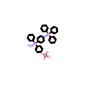 [NH2+]=P(c1ccccc1)(c1ccccc1)c1ccccc1.[NH2+]=P(c1ccccc1)(c1ccccc1)c1ccccc1.[O]=[W](=[O])([O-])[O-]